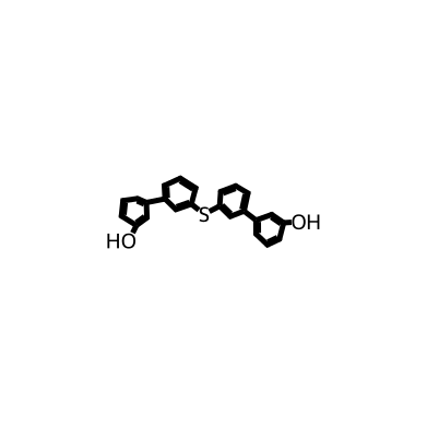 Oc1cccc(-c2cccc(Sc3cccc(-c4cccc(O)c4)c3)c2)c1